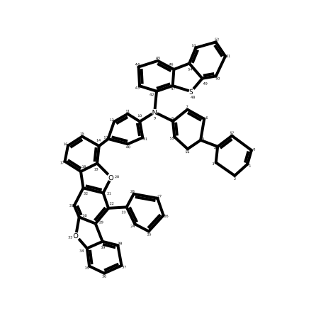 C1=CCCC(C2C=CC(N(c3ccc(-c4cccc5c4oc4c(-c6ccccc6)c6c(cc45)oc4ccccc46)cc3)c3cccc4c3sc3ccccc34)=CC2)=C1